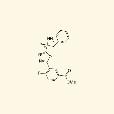 COC(=O)c1ccc(F)c(-c2nnc([C@](C)(N)Cc3ccccc3)o2)c1